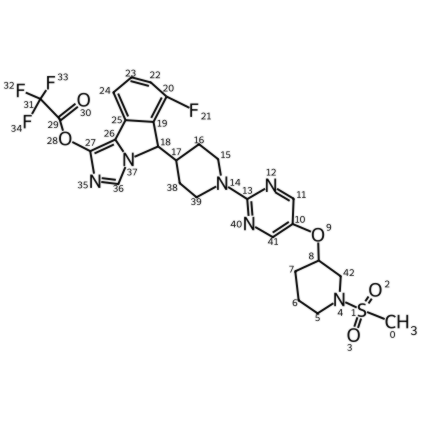 CS(=O)(=O)N1CCCC(Oc2cnc(N3CCC(C4c5c(F)cccc5-c5c(OC(=O)C(F)(F)F)ncn54)CC3)nc2)C1